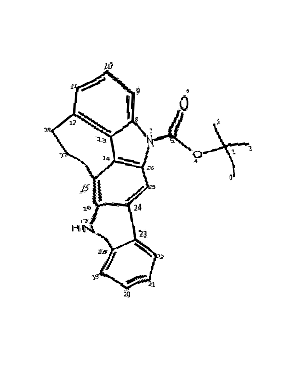 CC(C)(C)OC(=O)n1c2cccc3c2c2c(c4[nH]c5ccccc5c4cc21)CC3